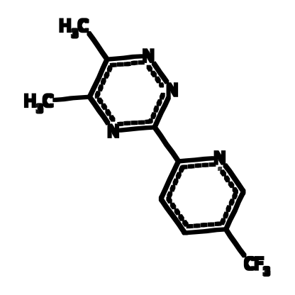 Cc1nnc(-c2ccc(C(F)(F)F)cn2)nc1C